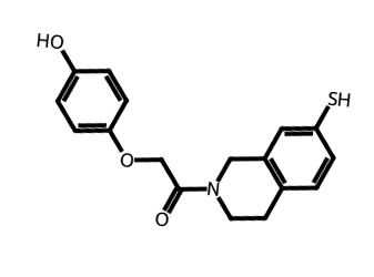 O=C(COc1ccc(O)cc1)N1CCc2ccc(S)cc2C1